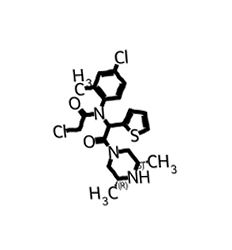 Cc1cc(Cl)ccc1N(C(=O)CCl)C(C(=O)N1C[C@@H](C)N[C@@H](C)C1)c1cccs1